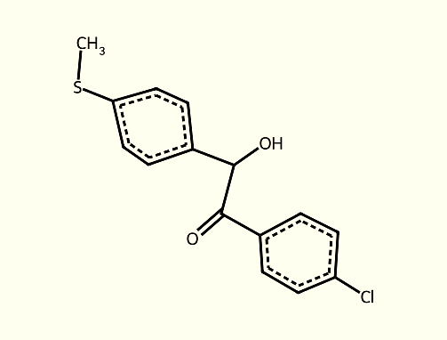 CSc1ccc(C(O)C(=O)c2ccc(Cl)cc2)cc1